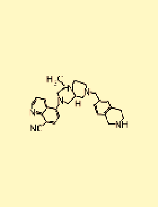 C[C@@H]1CN(c2ccc(C#N)c3ncccc23)C[C@@H]2CN(Cc3ccc4c(c3)CCNC4)CCN21